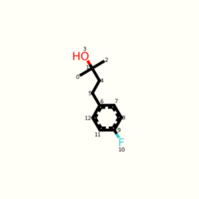 CC(C)(O)CCc1ccc(F)cc1